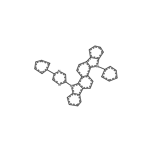 c1ccc(-c2cnc(-n3c4ccccc4c4ccc5c(ccc6c7ccccc7n(-c7ccccc7)c65)c43)cn2)cc1